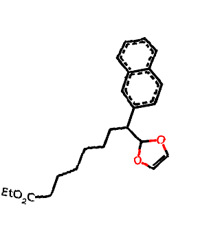 CCOC(=O)CCCCCCC(c1ccc2ccccc2c1)C1OC=CO1